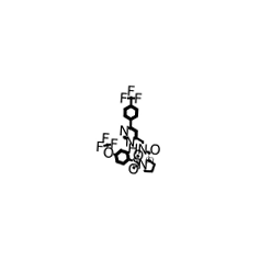 O=C(NCc1cc(-c2ccc(C(F)(F)F)cc2)ncn1)[C@@H]1CCCN1S(=O)(=O)c1ccc(OC(F)(F)F)cc1